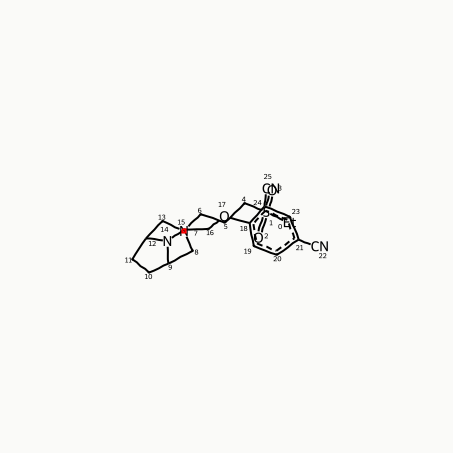 CCS(=O)(=O)CCCN1CC2CCC(C1)N2CCOc1ccc(C#N)cc1C#N